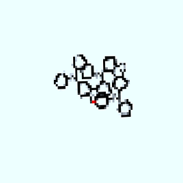 c1ccc(N(c2ccccc2)c2ccc3oc4cccc(N(c5ccccc5)c5cccc6oc7ccc(N(c8ccccc8)c8ccccc8)cc7c56)c4c3c2)cc1